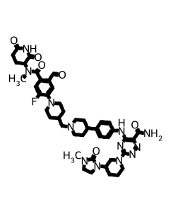 CN1CCN(C2CCCN(c3nnc(C(N)=O)c(Nc4ccc(C5CCN(CC6CCN(c7cc(C=O)c(C(=O)N(C)C8CCC(=O)NC8=O)cc7F)CC6)CC5)cc4)n3)C2)C1=O